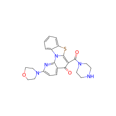 O=C(c1c(=O)c2ccc(N3CCOCC3)nc2n2c1sc1ccccc12)N1CCNCC1